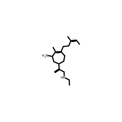 C=C(CNCC)C1CCC(CC/C(C)=C\C)=C(C)C(N)C1